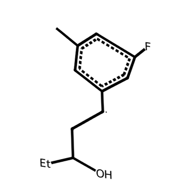 CCC(O)C[CH]c1cc(C)cc(F)c1